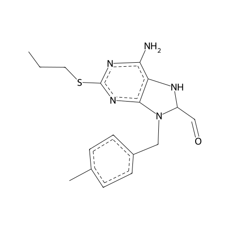 CCCSc1nc(N)c2c(n1)N(Cc1ccc(C)cc1)C(C=O)N2